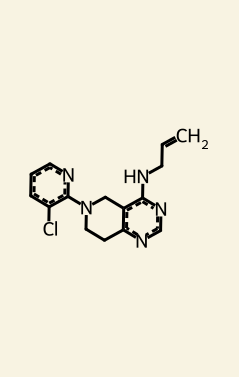 C=CCNc1ncnc2c1CN(c1ncccc1Cl)CC2